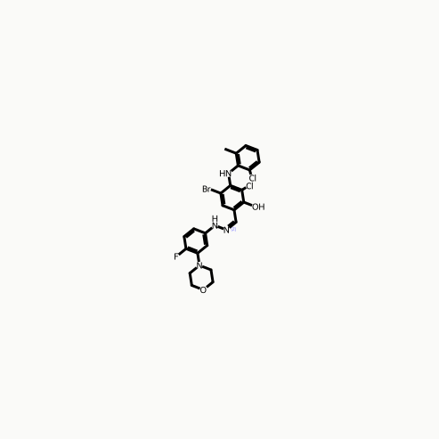 Cc1cccc(Cl)c1Nc1c(Br)cc(/C=N\Nc2ccc(F)c(N3CCOCC3)c2)c(O)c1Cl